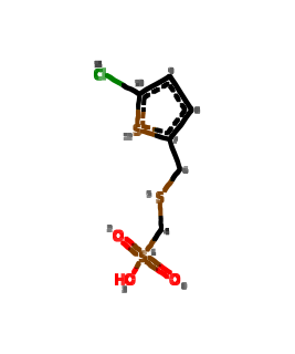 O=S(=O)(O)CSCc1ccc(Cl)s1